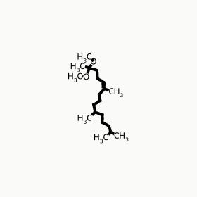 COC(C)(CCC=C(C)CCCC(C)CCCC(C)C)OC